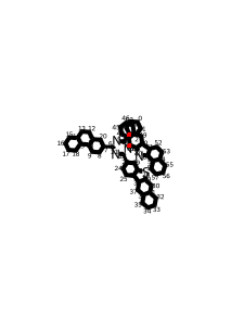 c1ccc(-c2nc(-c3ccc4c(ccc5ccccc54)c3)nc(-c3ccc4c(sc5cc6ccccc6cc54)c3-n3c4cc5ccccc5cc4c4ccc5ccccc5c43)n2)cc1